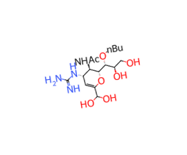 CCCCO[C@@H]([C@@H]1OC(C(O)O)=C[C@H](NC(=N)N)[C@H]1NC(C)=O)[C@H](O)CO